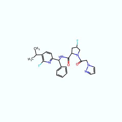 CC(C)c1ccc(C(NC(=O)C2CC(F)CN2C(=O)Cn2cccn2)c2ccccc2)nc1F